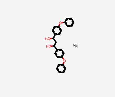 OC(CC(O)c1ccc(Oc2ccccc2)cc1)c1ccc(Oc2ccccc2)cc1.[Na]